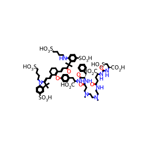 CN(CCNC(=O)CC[C@H](NC(=O)N[C@@H](CS(=O)(=O)O)C(=O)O)C(=O)O)CCN(C)CCC(=O)N[C@@H](Cc1ccccc1)C(=O)N[C@@H](Cc1ccc(OC2=C(/C=C/C(=O)C(C)(C)c3cc(S(=O)(=O)O)ccc3NCCCCS(=O)(=O)O)CCC/C2=C\C=C2\N(CCCCS(=O)(=O)O)c3ccc(S(=O)(=O)O)cc3C2(C)C)cc1)C(=O)O